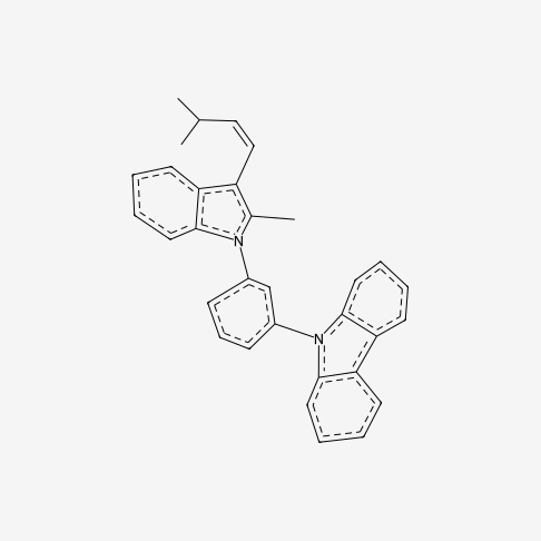 Cc1c(/C=C\C(C)C)c2ccccc2n1-c1cccc(-n2c3ccccc3c3ccccc32)c1